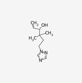 C=CC(O)C(C)(C)CCn1cncn1